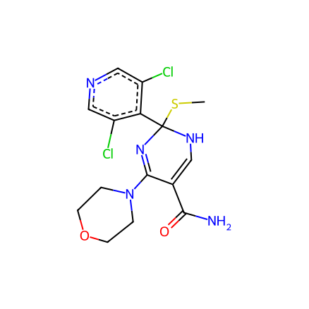 CSC1(c2c(Cl)cncc2Cl)N=C(N2CCOCC2)C(C(N)=O)=CN1